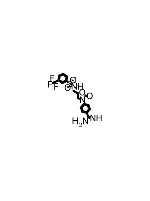 N=C(N)c1ccc(N2CC(CNS(=O)(=O)c3cccc(C(F)(F)F)c3)OC2=O)cc1